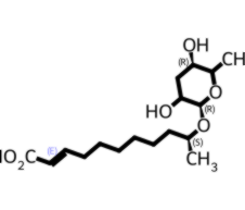 CC1O[C@@H](O[C@@H](C)CCCCCC/C=C/C(=O)O)C(O)C[C@H]1O